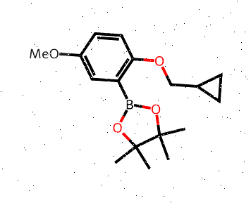 COc1ccc(OCC2CC2)c(B2OC(C)(C)C(C)(C)O2)c1